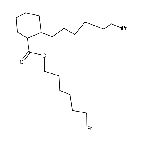 CC(C)CCCCCCOC(=O)C1CCCCC1CCCCCCC(C)C